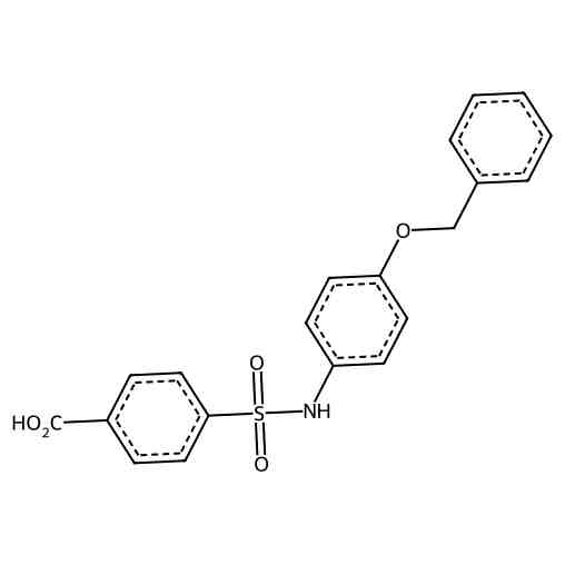 O=C(O)c1ccc(S(=O)(=O)Nc2ccc(OCc3ccccc3)cc2)cc1